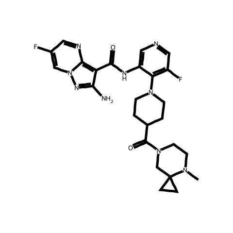 CN1CCN(C(=O)C2CCN(c3c(F)cncc3NC(=O)c3c(N)nn4cc(F)cnc34)CC2)CC12CC2